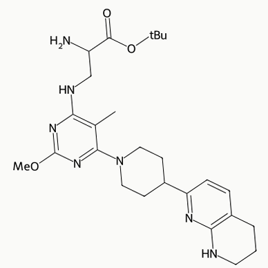 COc1nc(NCC(N)C(=O)OC(C)(C)C)c(C)c(N2CCC(c3ccc4c(n3)NCCC4)CC2)n1